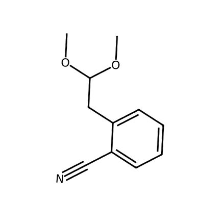 COC(Cc1ccccc1C#N)OC